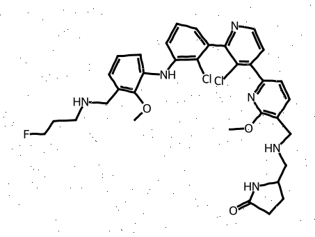 COc1nc(-c2ccnc(-c3cccc(Nc4cccc(CNCCCF)c4OC)c3Cl)c2Cl)ccc1CNCC1CCC(=O)N1